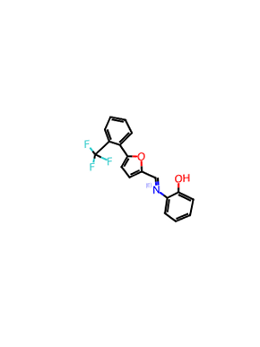 Oc1ccccc1/N=C/c1ccc(-c2ccccc2C(F)(F)F)o1